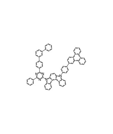 c1ccc(-c2cccc(-c3ccc(-c4nc(-c5ccccc5)nc(-n5c6ccccc6c6c7c8ccccc8n(-c8ccc(-c9ccc%10c%11ccccc%11c%11ccccc%11c%10c9)cc8)c7ccc65)n4)cc3)c2)cc1